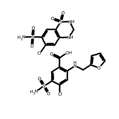 NS(=O)(=O)c1cc(C(=O)O)c(NCc2ccco2)cc1Cl.NS(=O)(=O)c1cc2c(cc1Cl)NCNS2(=O)=O